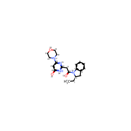 CC[C@@H]1Cc2ccccc2N1C(=O)Cc1nc(N2CCOCC2)cc(=O)[nH]1